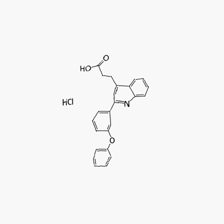 Cl.O=C(O)CCc1cc(-c2cccc(Oc3ccccc3)c2)nc2ccccc12